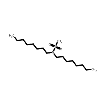 CCCCCCCCN(CCCCCCCC)S(C)(=O)=O